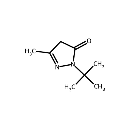 CC1=NN(C(C)(C)C)C(=O)C1